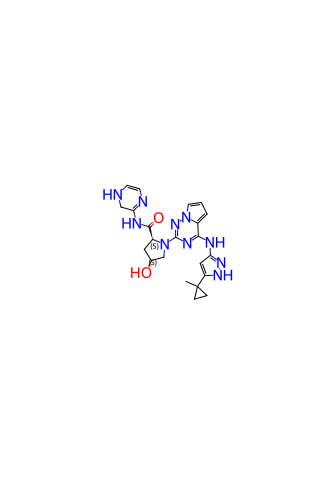 CC1(c2cc(Nc3nc(N4C[C@@H](O)C[C@H]4C(=O)NC4=NC=CNC4)nn4cccc34)n[nH]2)CC1